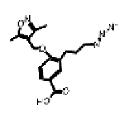 Cc1noc(C)c1COc1ccc(C(=O)O)cc1CCCN=[N+]=[N-]